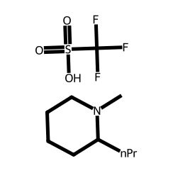 CCCC1CCCCN1C.O=S(=O)(O)C(F)(F)F